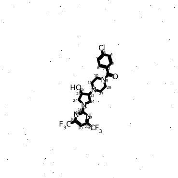 O=C(c1ccc(Cl)cc1)N1CCN(C2CN(c3nc(C(F)(F)F)cc(C(F)(F)F)n3)CC2O)CC1